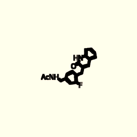 CC(=O)NCc1ccc(Cc2cc3ccccc3[nH]c2=O)c(F)c1